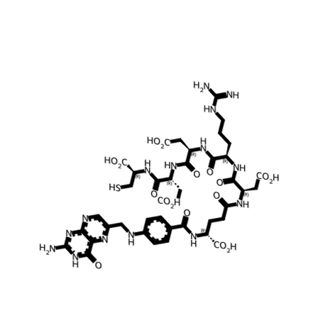 N=C(N)NCCC[C@@H](NC(=O)[C@@H](CC(=O)O)NC(=O)CC[C@@H](NC(=O)c1ccc(NCc2cnc3nc(N)[nH]c(=O)c3n2)cc1)C(=O)O)C(=O)N[C@H](CC(=O)O)C(=O)N[C@H](CC(=O)O)C(=O)N[C@@H](CS)C(=O)O